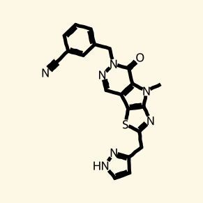 Cn1c2nc(Cc3cc[nH]n3)sc2c2cnn(Cc3cccc(C#N)c3)c(=O)c21